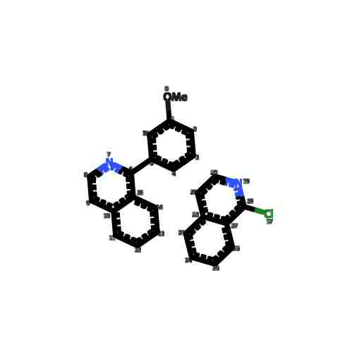 COc1cccc(-c2nccc3ccccc23)c1.Clc1nccc2ccccc12